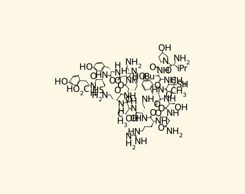 CC[C@H](C)[C@H](NC(=O)[C@@H]1C[C@@H](O)CN1C(=O)[C@@H](N)C(C)C)C(=O)N[C@H](C(=O)N[C@@H](Cc1ccc(O)cc1)C(=O)N[C@@H](CO)C(=O)N[C@@H](CC(N)=O)C(=O)N[C@@H](CCCNC(=N)N)C(=O)N[C@@H](CCN)C(=O)N[C@H](C(=O)N[C@H](CCN)C(=O)N[C@@H](CCCCN)C(=O)N[C@@H](CCN)C(=O)N[C@@H](Cc1ccc(O)cc1)C(=O)N[C@@H](CS)C(=O)N[C@@H](Cc1ccc(O)cc1)C(=O)O)[C@@H](C)O)C(C)(C)S